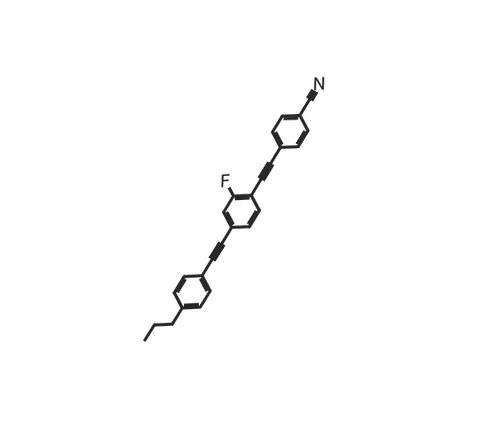 CCCc1ccc(C#Cc2ccc(C#Cc3ccc(C#N)cc3)c(F)c2)cc1